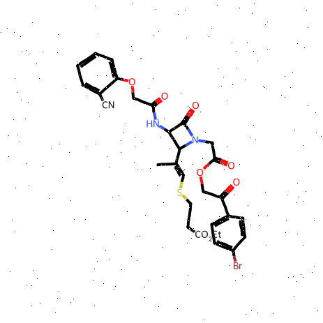 CCOC(=O)CCSC=C(C)C1C(NC(=O)COc2ccccc2C#N)C(=O)N1CC(=O)OCC(=O)c1ccc(Br)cc1